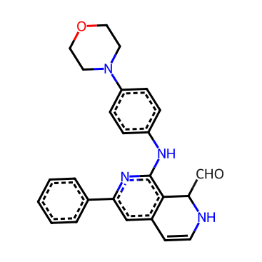 O=CC1NC=Cc2cc(-c3ccccc3)nc(Nc3ccc(N4CCOCC4)cc3)c21